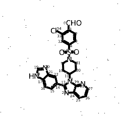 O=Cc1ccc(S(=O)(=O)N2CCC(n3c(-c4ccc5[nH]cnc5c4)nc4cccnc43)CC2)cc1Cl